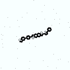 c1ccc(-c2ccc(-c3cc4cc5cc6oc(-c7ccc(-c8ccc9occc9c8)cc7)cc6cc5cc4o3)s2)cc1